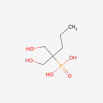 CCCC(CO)(CO)P(=O)(O)O